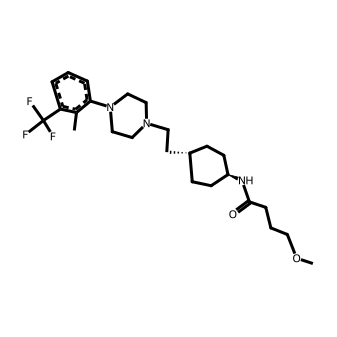 COCCCC(=O)N[C@H]1CC[C@H](CCN2CCN(c3cccc(C(F)(F)F)c3C)CC2)CC1